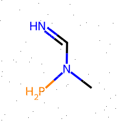 CN(P)C=N